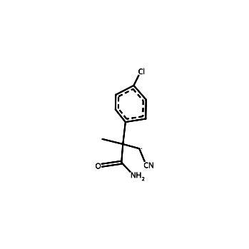 CC([CH]C#N)(C(N)=O)c1ccc(Cl)cc1